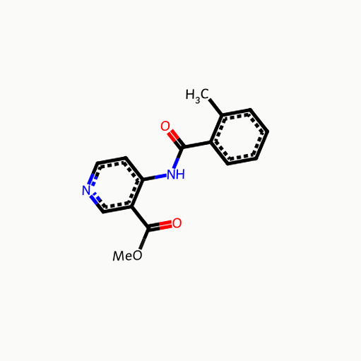 COC(=O)c1cnccc1NC(=O)c1ccccc1C